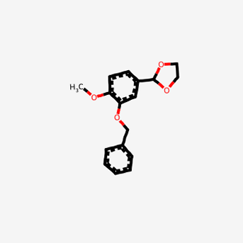 COc1ccc(C2OCCO2)cc1OCc1ccccc1